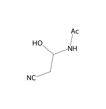 CC(=O)NC(O)CC#N